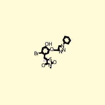 CN1C(=O)S/C(=C\c2cc(OCc3cn(-c4ccccc4)nn3)c(O)cc2Br)C1=O